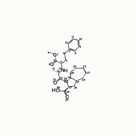 COC(=O)C(CCc1ccccc1)N[C@@H](C)C(=O)N1C2CCCCCC2C[C@H]1C(=O)O